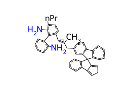 CCCc1ccc(/C=C(\C)Cc2ccc3c(c2)C2(C4=CCC=C4c4ccccc42)c2ccccc2-3)c(-c2ccccc2N)c1N